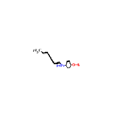 CCCCCNC1CCC(O)CC1